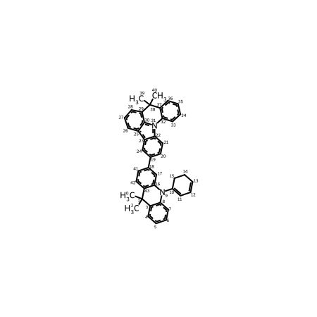 CC1(C)c2ccccc2N(C2=CC=CCC2)c2cc(-c3ccc4c(c3)c3cccc5c3n4-c3ccccc3C5(C)C)ccc21